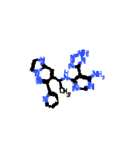 CC(Nc1ncnc(N)c1-c1nn[nH]n1)c1cc2nccn2nc1-c1ccccn1